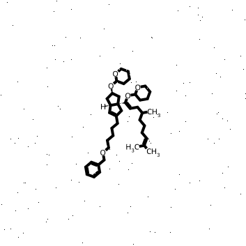 CC(C)=CCCCC(C)CC=C(OC1CCCCO1)[C@]12CC(CCCCCOCc3ccccc3)=C[C@H]1C[C@@H](OC1CCCCO1)C2